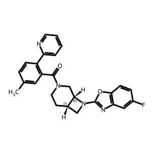 Cc1ccc(-c2ccccn2)c(C(=O)N2CC[C@H]3CN(c4nc5cc(F)ccc5o4)[C@H]3C2)c1